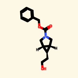 O=C(OCc1ccccc1)N1C[C@@H]2[C@@H](CCO)[C@@H]2C1